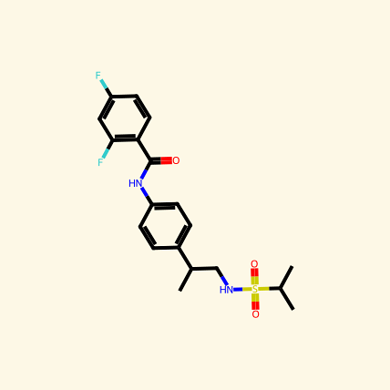 CC(CNS(=O)(=O)C(C)C)c1ccc(NC(=O)c2ccc(F)cc2F)cc1